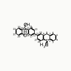 C[SH]1c2ccccc2Cc2cc(-c3ccc4c(c3)Oc3ccccc3[SH]4C)ccc21